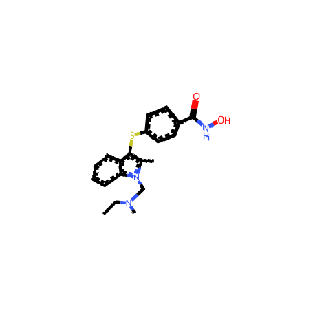 CCN(C)Cn1c(C)c(Sc2ccc(C(=O)NO)cc2)c2ccccc21